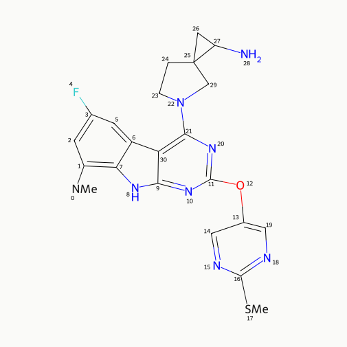 CNc1cc(F)cc2c1[nH]c1nc(Oc3cnc(SC)nc3)nc(N3CCC4(CC4N)C3)c12